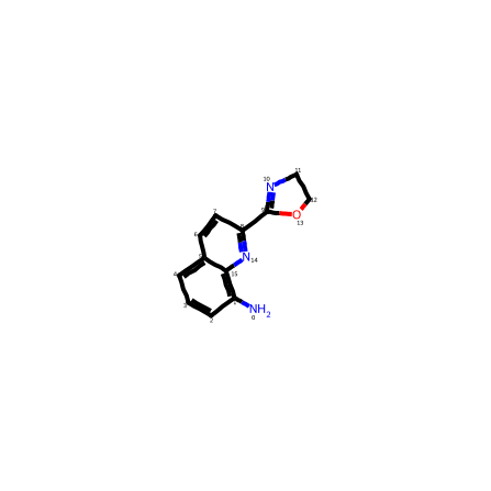 Nc1cccc2ccc(C3=NCCO3)nc12